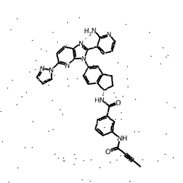 CC#CC(=O)Nc1cccc(C(=O)N[C@H]2CCc3cc(-n4c(-c5cccnc5N)nc5ccc(-n6cccn6)nc54)ccc32)c1